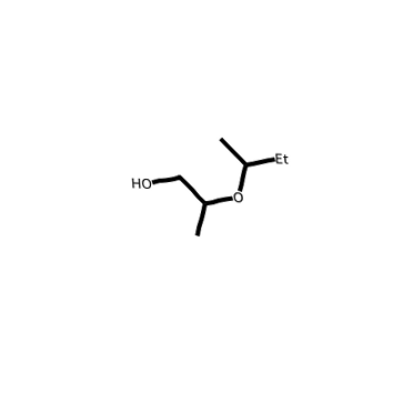 CCC(C)OC(C)CO